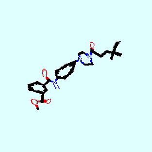 COC(=O)c1cccc(C(=O)Nc2ccc(N3CCN(C(=O)CCC(C)(C)C)CC3)cc2)c1